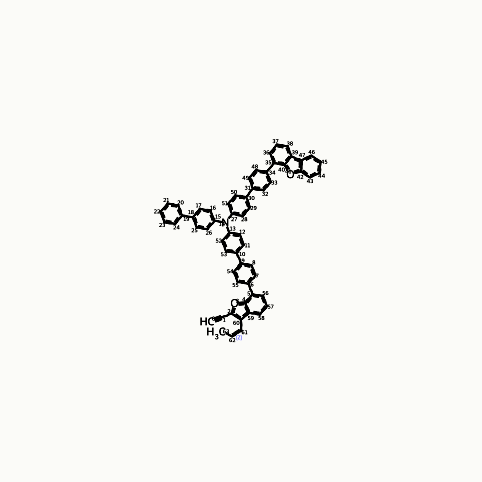 C#Cc1oc2c(-c3ccc(-c4ccc(N(c5ccc(-c6ccccc6)cc5)c5ccc(-c6ccc(-c7cccc8c7oc7ccccc78)cc6)cc5)cc4)cc3)cccc2c1/C=C\C